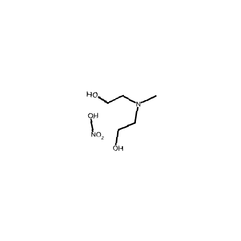 CN(CCO)CCO.O=[N+]([O-])O